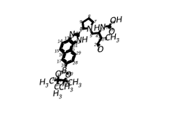 C[C@H](C=O)C(CN1CCC[C@H]1c1nc2ccc3cc(B4OC(C)(C)C(C)(C)O4)ccc3c2[nH]1)NC(=O)O